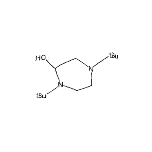 CC(C)(C)N1CCN(C(C)(C)C)C(O)C1